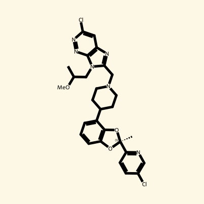 COC(C)Cn1c(CN2CCC(c3cccc4c3O[C@@](C)(c3ccc(Cl)cn3)O4)CC2)nc2cc(Cl)nnc21